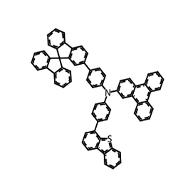 c1ccc2c(c1)-c1ccccc1C21c2ccccc2-c2ccc(-c3ccc(N(c4ccc(-c5cccc6c5sc5ccccc56)cc4)c4ccc5c6ccccc6c6ccccc6c5c4)cc3)cc21